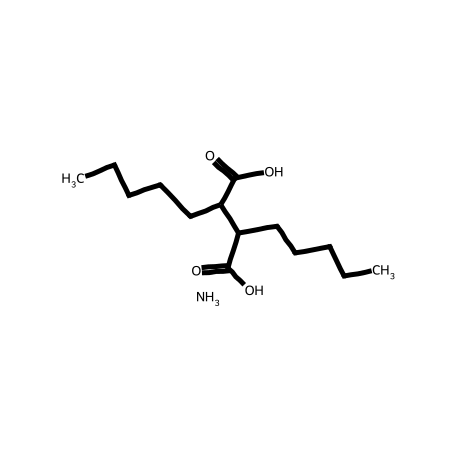 CCCCCC(C(=O)O)C(CCCCC)C(=O)O.N